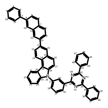 c1ccc(-c2ccc3ccc(-c4ccc5c(ccc6c5c5ccccc5n6-c5cccc(-c6nc(-c7ccccc7)nc(-c7ccccc7)n6)c5)c4)cc3c2)cc1